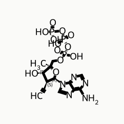 C#C[C@@H]1[C@H](n2cnc3c(N)ncnc32)O[C@](C)(COP(=O)(O)OP(=O)(O)OP(=O)(O)O)[C@H]1O